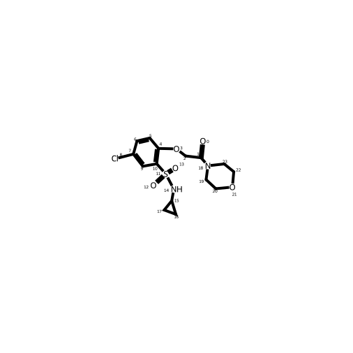 O=C(COc1ccc(Cl)cc1S(=O)(=O)NC1CC1)N1CCOCC1